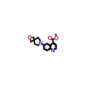 COC(=O)c1ccnc2ccc(N3CCC4(CC3)COC4)cc12